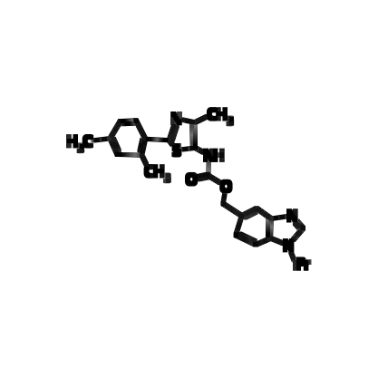 Cc1ccc(-c2nc(C)c(NC(=O)OCc3ccc4c(c3)ncn4C(C)C)s2)c(C)c1